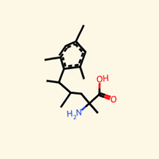 Cc1cc(C)c(C(C)C(C)CC(C)(N)C(=O)O)c(C)c1